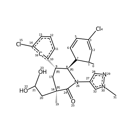 CC1C=C(Cl)C=CC1[C@@H]1[C@@H](c2cccc(Cl)c2)C[C@](C)(CC(O)O)C(=O)N1c1cnn(C)c1